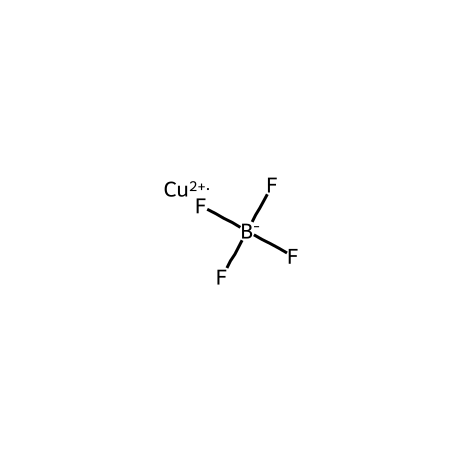 F[B-](F)(F)F.[Cu+2]